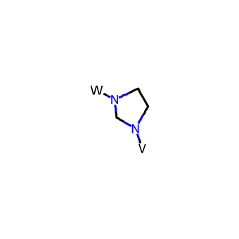 [V][N]1CC[N]([W])C1